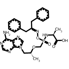 C[C@H](Cn1cnc2c(N)ncnc21)OCP(=O)(N[C@@H](C)C(=O)O)ON=C(Cc1ccccc1)Cc1ccccc1